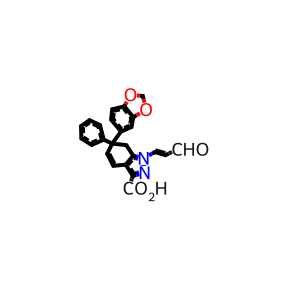 O=CC=Cn1nc(C(=O)O)c2c1CC(c1ccccc1)(c1ccc3c(c1)OCO3)C=C2